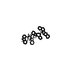 C1=CC(c2nc(-c3cccc4c3oc3c5ccccc5c(-n5c6cc7ccccc7cc6c6ccc7ccccc7c65)cc43)nc(-c3cccc4sc5ccccc5c34)n2)=CCC1